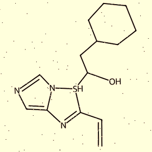 C=CC1=Nc2cncn2[SH]1C(O)CC1CCCCC1